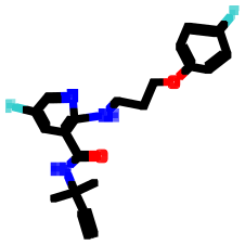 C#CC(C)(C)NC(=O)c1cc(F)cnc1NCCCOc1ccc(F)cc1